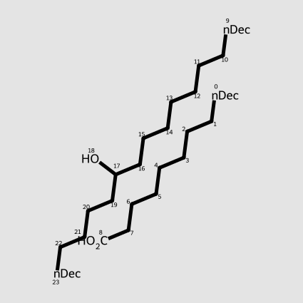 CCCCCCCCCCCCCCCCCC(=O)O.CCCCCCCCCCCCCCCCCC(O)CCCCCCCCCCCCCC